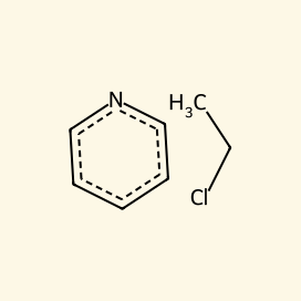 CCCl.c1ccncc1